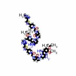 COc1cc(C(=N)c2nc(N3CC[C@]4(CCN(CC(=O)N5CC=C(c6ncc(-c7ncn(Cc8cc(C(=N)c9nc(N%10CC[C@]%11(CCN(CC(=O)N%12CC=C(c%13ncc(-c%14cn(C)cn%14)s%13)CC%12)C%11)C%10=O)ccc9N)cnc8OC(C)C)n7)s6)CC5)C4)C3=O)ccc2N)ccc1OC(C)C